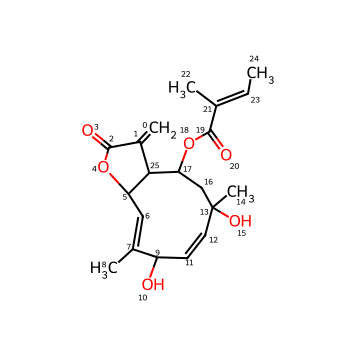 C=C1C(=O)OC2/C=C(\C)C(O)/C=C\C(C)(O)CC(OC(=O)/C(C)=C/C)C12